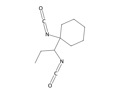 CCC(N=C=O)C1(N=C=O)CCCCC1